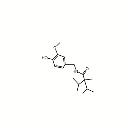 COc1cc(CNC(=O)C(C)(C(C)C)C(C)C)ccc1O